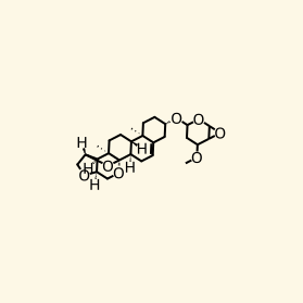 COC1CC(O[C@H]2CC[C@@]3(C)C(=CC[C@@H]4[C@@H]3CC[C@]3(C)[C@H]5[C@H]6CO[C@@]43O[C@@H]5CO6)C2)OC2OC12